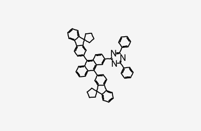 c1ccc(-c2nc(-c3ccccc3)nc(-c3ccc4c(-c5ccc6c(c5)C5(CCCC5)c5ccccc5-6)c5ccccc5c(-c5ccc6c(c5)C5(CCCC5)c5ccccc5-6)c4c3)n2)cc1